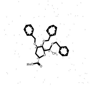 COC(=O)[C@@H]1C[C@@H](OCc2ccccc2)[C@@H](OCc2ccccc2)[C@@H]([C@@H](C)OCc2ccccc2)O1